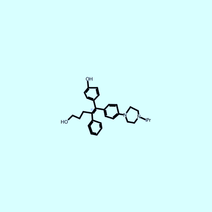 CC(C)N1CCN(c2ccc(/C(=C(/CCCO)C3=C=C=CC=C3)c3ccc(O)cc3)cc2)CC1